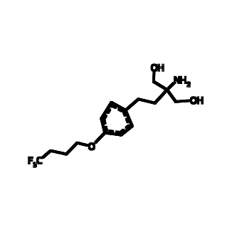 NC(CO)(CO)CCc1ccc(OCCCC(F)(F)F)cc1